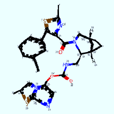 Cc1cccc(-c2sc(C)nc2C(=O)N2C[C@@H]3C[C@@H]3[C@H]2CNC(=O)Oc2cnc3sc(C)cn23)c1